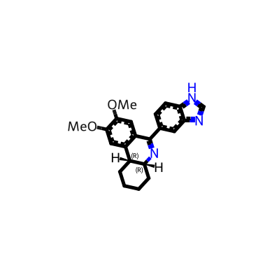 COc1cc2c(cc1OC)[C@H]1CCCC[C@H]1N=C2c1ccc2[nH]cnc2c1